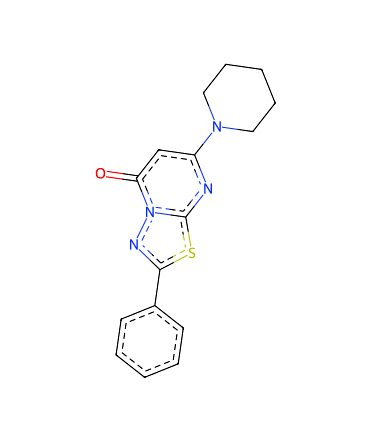 O=c1cc(N2CCCCC2)nc2sc(-c3ccccc3)nn12